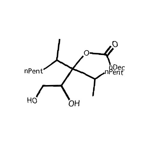 CCCCCCCCCCC(=O)OC(C(C)CCCCC)(C(C)CCCCC)C(O)CO